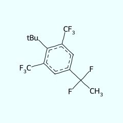 CC(C)(C)c1c(C(F)(F)F)cc(C(C)(F)F)cc1C(F)(F)F